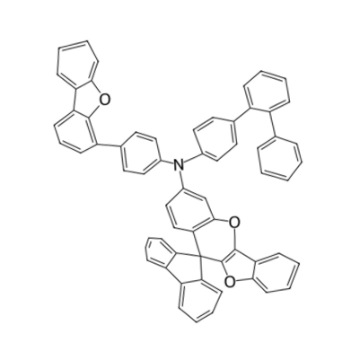 c1ccc(-c2ccccc2-c2ccc(N(c3ccc(-c4cccc5c4oc4ccccc45)cc3)c3ccc4c(c3)Oc3c(oc5ccccc35)C43c4ccccc4-c4ccccc43)cc2)cc1